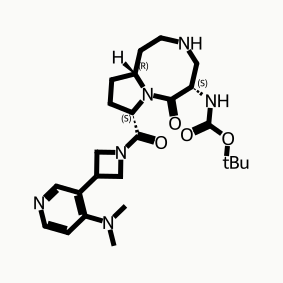 CN(C)c1ccncc1C1CN(C(=O)[C@@H]2CC[C@@H]3CCNC[C@H](NC(=O)OC(C)(C)C)C(=O)N32)C1